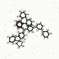 c1ccc(-c2cccc(-c3ccc(N(c4ccc5c(c4)-c4ccccc4C54CCCC4)c4ccccc4-c4ccccc4-c4ccccc4-c4ccccc4)cc3)c2)cc1